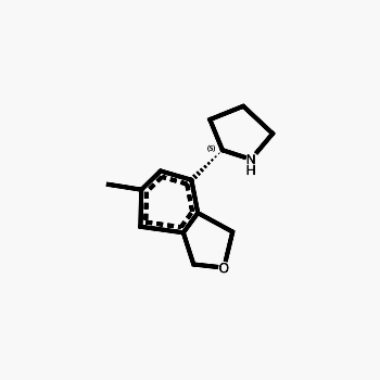 Cc1cc2c(c([C@@H]3CCCN3)c1)COC2